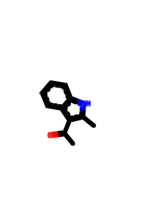 CC(=O)c1c(C)[nH]c2cc[c]cc12